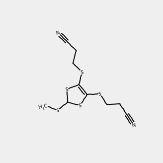 CSC1SC(SCCC#N)=C(SCCC#N)S1